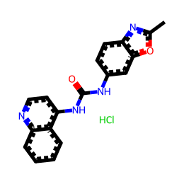 Cc1nc2ccc(NC(=O)Nc3ccnc4ccccc34)cc2o1.Cl